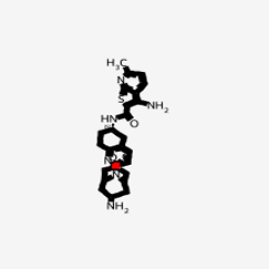 Cc1ccc2c(N)c(C(=O)N[C@H]3CCc4nc(N5C6CC(N)CC5CS(=O)(=O)C6)ccc4C3)sc2n1